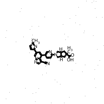 Cn1ccc(-c2cc(-c3ccc(N4C[C@@H]5CC(C)(C(=O)O)C[C@@H]5C4)nc3)c3c(C#N)cnn3c2)n1